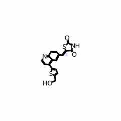 O=C1NC(=O)/C(=C/c2ccc3nccc(-c4ccc(CO)s4)c3c2)S1